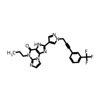 CCCn1c(=O)c2[nH]c(-c3cnn(CC#Cc4cccc(C(F)(F)F)c4)c3)nc2n2ccnc12